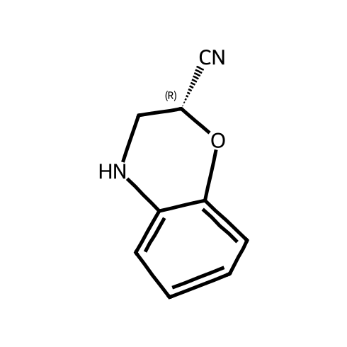 N#C[C@H]1CNc2ccccc2O1